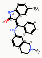 CC(=O)N1CCc2ccc(N/C(=C3\C(=O)Nc4ccc([N+](=O)[O-])cc43)c3ccccc3)cc2C1